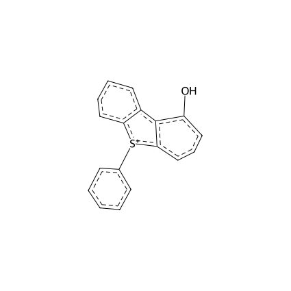 Oc1cccc2c1c1ccccc1[s+]2-c1ccccc1